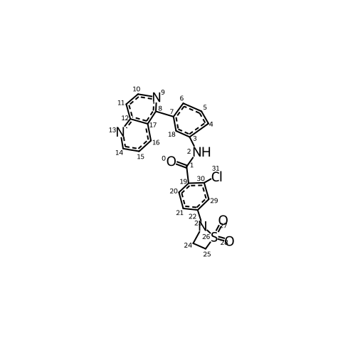 O=C(Nc1cccc(-c2nccc3ncccc23)c1)c1ccc(N2CCS2(=O)=O)cc1Cl